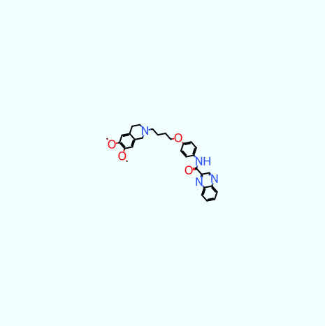 COc1cc2c(cc1OC)CN(CCCCOc1ccc(NC(=O)c3cnc4ccccc4n3)cc1)CC2